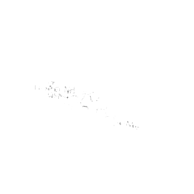 COCCCCCCc1ccc([C@@H]2CC[C@@](N)(COP(=O)(O)O)C2)cc1